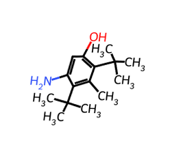 Cc1c(C(C)(C)C)c(N)cc(O)c1C(C)(C)C